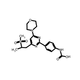 CC(Cc1cc(N2CCOCC2)nc(-c2ccc(NC(=O)O)cc2)n1)S(C)(=O)=O